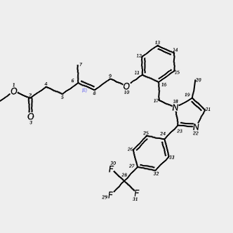 COC(=O)CC/C(C)=C/COc1ccccc1Cn1c(C)cnc1-c1ccc(C(F)(F)F)cc1